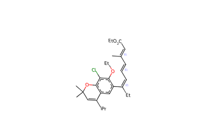 CCOC(=O)/C=C(C)/C=C/C=C(/CC)c1cc2c(c(Cl)c1OCC)OC(C)(C)C=C2C(C)C